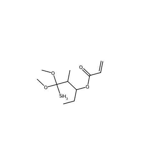 C=CC(=O)OC(CC)C(C)C([SiH3])(OC)OC